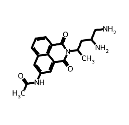 CC(=O)Nc1cc2c3c(cccc3c1)C(=O)N(C(C)CC(N)CN)C2=O